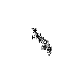 CCc1cnc(NC(=O)C(CC)c2cccc(-c3ccc(NC(=O)/C=C/CN(C)C)cn3)c2)s1